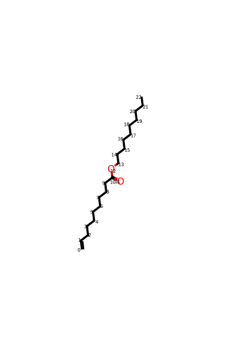 C=CCCCCCCCCC(=O)OCCCCCCCCCC